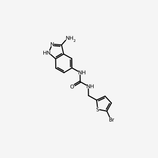 Nc1n[nH]c2ccc(NC(=O)NCc3ccc(Br)s3)cc12